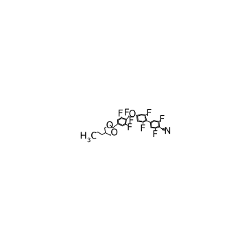 CCCC1COC(c2cc(F)c(C(F)(F)Oc3cc(F)c(-c4cc(F)c(C#N)c(F)c4)c(F)c3)c(F)c2)OC1